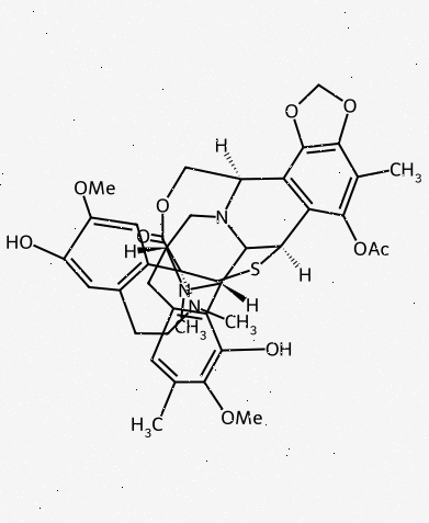 COc1cc2c(cc1O)CCN(C)[C@]21CS[C@@H]2c3c(OC(C)=O)c(C)c4c(c3[C@H](COC1=O)N1C[C@H]3Cc5cc(C)c(OC)c(O)c5[C@@H](C21)N3C)OCO4